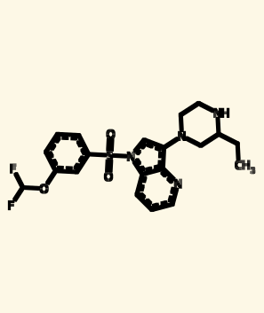 CCC1CN(c2cn(S(=O)(=O)c3cccc(OC(F)F)c3)c3cccnc23)CCN1